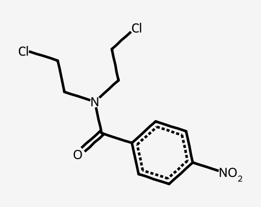 O=C(c1ccc([N+](=O)[O-])cc1)N(CCCl)CCCl